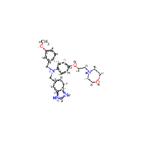 COc1cccc(CN(Cc2ccc3nc[nH]c3c2)c2ccc(OCCN3CCOCC3)cc2)c1